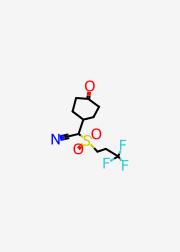 N#CC(C1CCC(=O)CC1)S(=O)(=O)CCC(F)(F)F